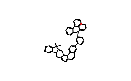 CC1(C)c2ccccc2-c2cc3ccc4ccc5cc(-c6cccc(N(c7ccccc7)c7ccccc7-c7ccccc7)c6)ccc5c4c3cc21